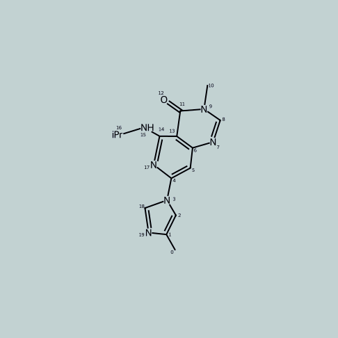 Cc1cn(-c2cc3ncn(C)c(=O)c3c(NC(C)C)n2)cn1